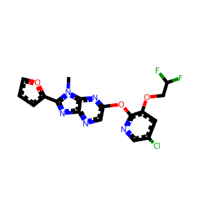 Cn1c(-c2ccco2)nc2ncc(Oc3ncc(Cl)cc3OCC(F)F)nc21